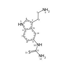 NCCc1c[nH]c2ccc(NC(N)=S)cc12